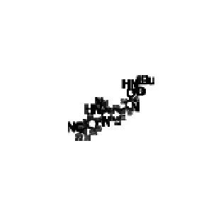 CC(C)(C)NC(=O)Oc1cncc(-c2ccc3nc(-c4ccc(C(C)(C)C#N)cc4)c4[nH]ncc4c3c2)c1